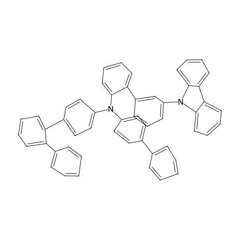 c1ccc(-c2ccc(N(c3ccc(-c4ccccc4-c4ccccc4)cc3)c3ccccc3-c3cccc(-n4c5ccccc5c5ccccc54)c3)cc2)cc1